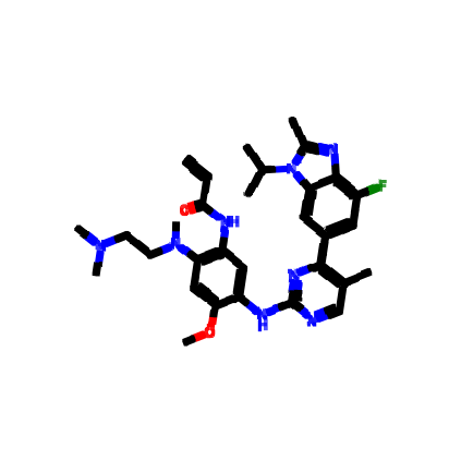 C=CC(=O)Nc1cc(Nc2ncc(C)c(-c3cc(F)c4nc(C)n(C(C)C)c4c3)n2)c(OC)cc1N(C)CCN(C)C